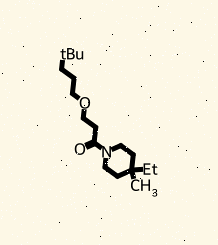 CCC1(C)CCN(C(=O)CCOCCCC(C)(C)C)CC1